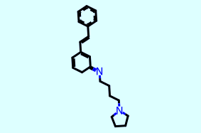 C1=CC(C=Cc2ccccc2)=CC(=NCCCCN2CCCC2)C1